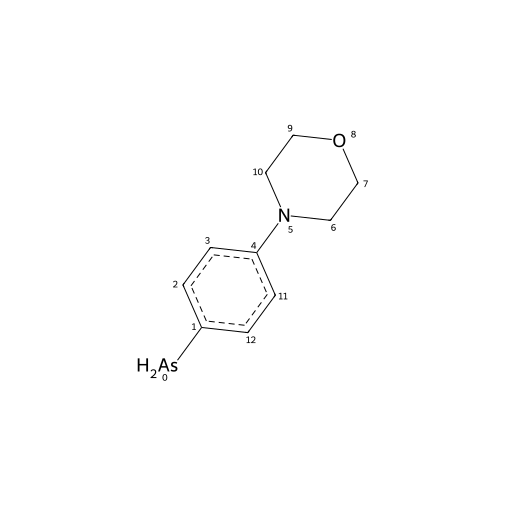 [AsH2]c1ccc(N2CCOCC2)cc1